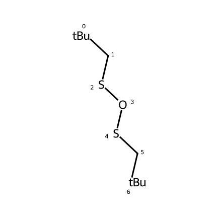 CC(C)(C)CSOSCC(C)(C)C